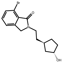 O=C1c2c(Br)cccc2CN1CC[C@H]1CC[C@H](O)C1